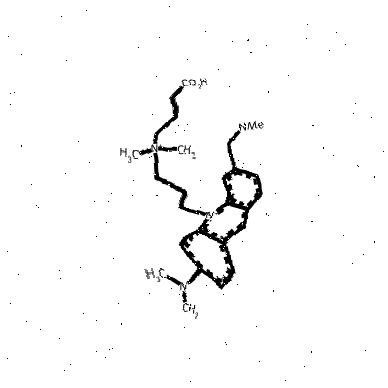 CNCc1ccc2cc3ccc(N(C)C)cc3[n+](CCC[N+](C)(C)CCCC(=O)O)c2c1